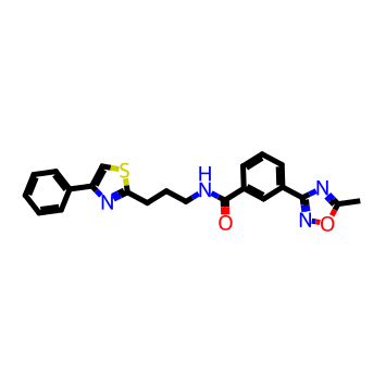 Cc1nc(-c2cccc(C(=O)NCCCc3nc(-c4ccccc4)cs3)c2)no1